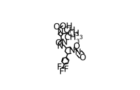 CC(C)(C)C1C(c2nc(C3CC(c4ccc(C(F)(F)F)cc4)CN(C(=O)N4CCOCC4)C3)no2)CN1C(=O)O